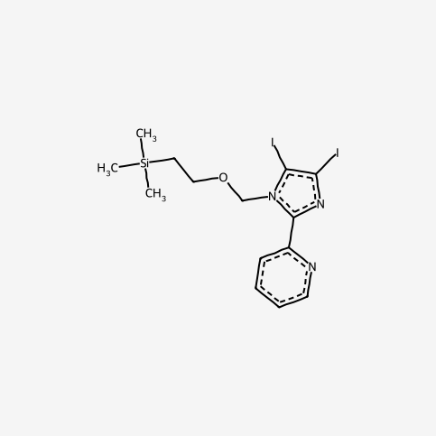 C[Si](C)(C)CCOCn1c(-c2ccccn2)nc(I)c1I